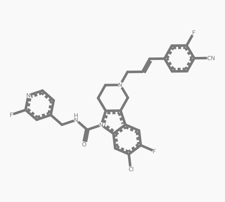 N#Cc1ccc(C=CCN2CCc3c(c4cc(F)c(Cl)cc4n3C(=O)NCc3ccnc(F)c3)C2)cc1F